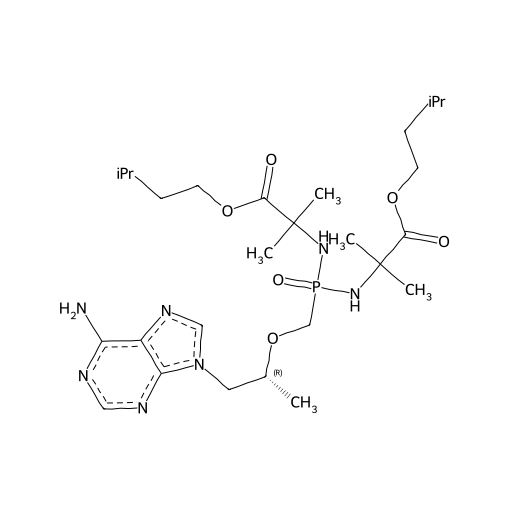 CC(C)CCOC(=O)C(C)(C)NP(=O)(CO[C@H](C)Cn1cnc2c(N)ncnc21)NC(C)(C)C(=O)OCCC(C)C